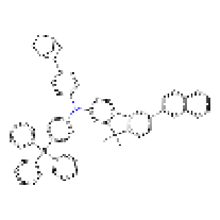 CC1(C)c2ccc(-c3ccc4ccccc4c3)cc2-c2ccc(N(c3ccc(C4CC5CCC4C5)cc3)c3ccc([Si](c4ccccc4)(c4ccccc4)c4ccccc4)cc3)cc21